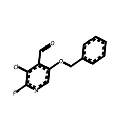 O=Cc1c(OCc2ccccc2)cnc(F)c1Cl